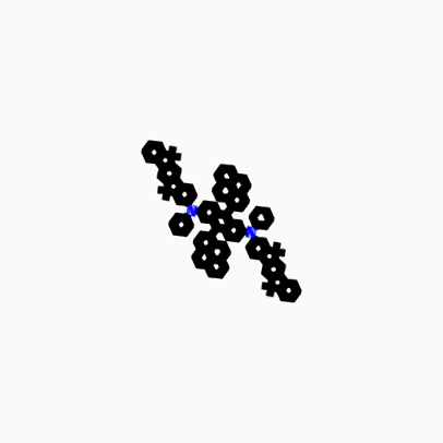 CC1(C)c2ccccc2-c2cc3c(cc21)-c1ccc(N(C2=CC=CCC2)c2ccc4c(-c5ccc6ccc7cccc8ccc5c6c78)c5cc(N(c6ccccc6)c6ccc7c(c6)C(C)(C)c6cc8c(cc6-7)C(C)(C)c6ccccc6-8)ccc5c(-c5ccc6ccc7cccc8ccc5c6c78)c4c2)cc1C3(C)C